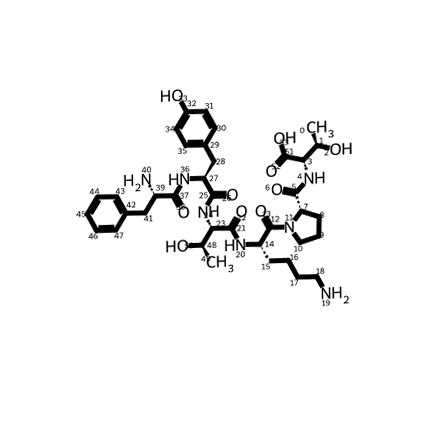 C[C@@H](O)[C@H](NC(=O)[C@@H]1CCCN1C(=O)[C@H](CCCCN)NC(=O)[C@@H](NC(=O)[C@H](Cc1ccc(O)cc1)NC(=O)[C@@H](N)Cc1ccccc1)[C@@H](C)O)C(=O)O